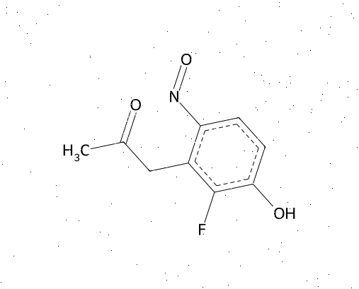 CC(=O)Cc1c(N=O)ccc(O)c1F